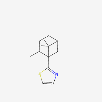 CC1CCC2CC1(c1nccs1)C2(C)C